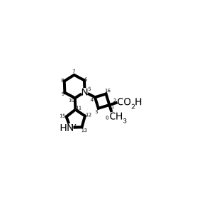 CC1(C(=O)O)CC(N2CCCCC2C2CCNC2)C1